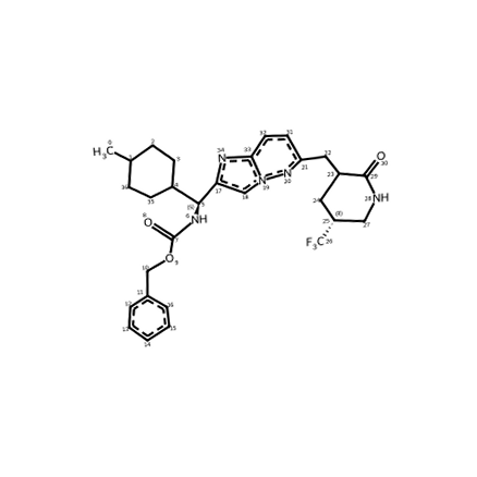 CC1CCC([C@H](NC(=O)OCc2ccccc2)c2cn3nc(CC4C[C@@H](C(F)(F)F)CNC4=O)ccc3n2)CC1